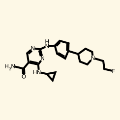 NC(=O)c1cnc(Nc2ccc(C3CCN(CCF)CC3)cc2)nc1NC1CC1